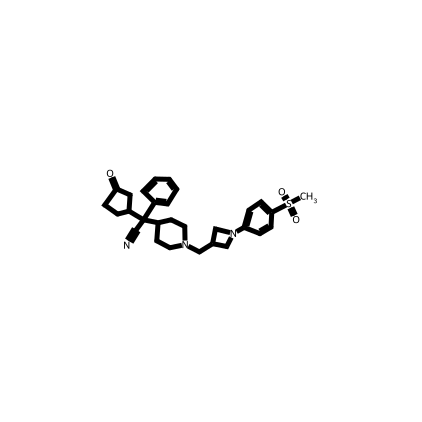 CS(=O)(=O)c1ccc(N2CC(CN3CCC(C(C#N)(c4ccccc4)C4CCC(=O)C4)CC3)C2)cc1